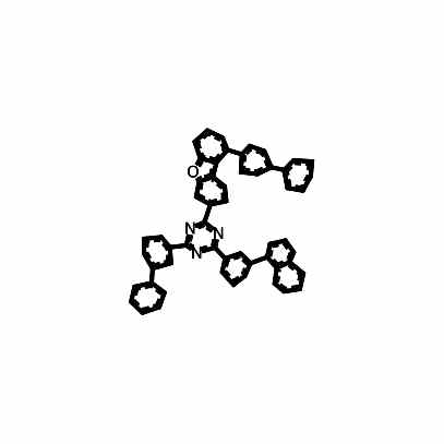 c1ccc(-c2ccc(-c3cccc4oc5cc(-c6nc(-c7cccc(-c8ccccc8)c7)nc(-c7cccc(-c8cccc9ccccc89)c7)n6)ccc5c34)cc2)cc1